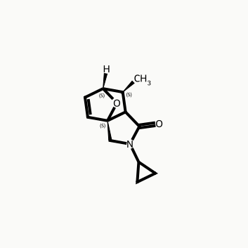 C[C@H]1C2C(=O)N(C3CC3)C[C@]23C=C[C@H]1O3